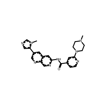 CN1CCN(c2cc(C(=O)Nc3cc4cc(-c5cncn5C)cnc4cn3)ccn2)CC1